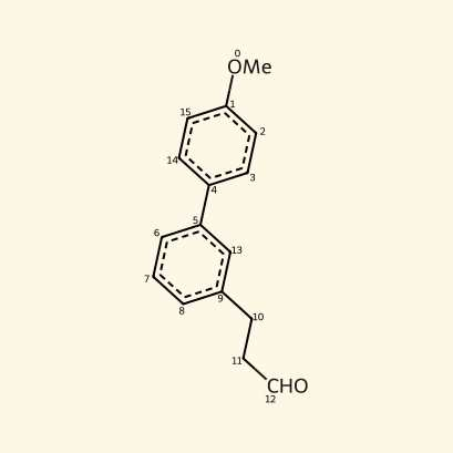 COc1ccc(-c2cccc(CCC=O)c2)cc1